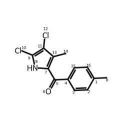 Cc1ccc(C(=O)c2[nH]c(Cl)c(Cl)c2C)cc1